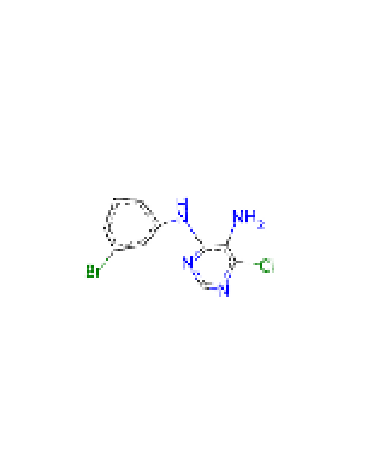 Nc1c(Cl)ncnc1Nc1cccc(Br)c1